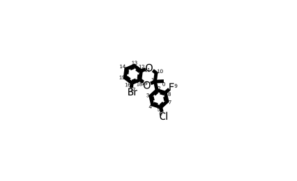 CC1(c2ccc(Cl)cc2F)COc2cccc(Br)c2O1